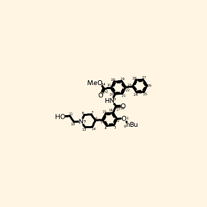 CCCCOc1ccc(C2CCN(CCO)CC2)cc1C(=O)Nc1cc(-c2ccccc2)ccc1C(=O)OC